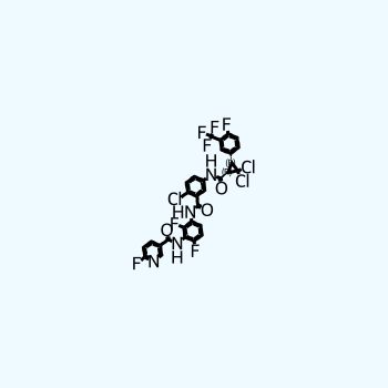 O=C(Nc1c(F)ccc(NC(=O)c2cc(NC(=O)[C@H]3[C@H](c4ccc(F)c(C(F)(F)F)c4)C3(Cl)Cl)ccc2Cl)c1F)c1ccc(F)nc1